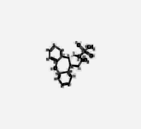 CS(=O)(=O)OC[C@H]1c2ccccc2Oc2ccccc2[C@@H]1C[N+](=O)[O-]